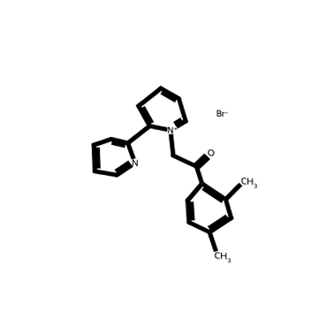 Cc1ccc(C(=O)C[n+]2ccccc2-c2ccccn2)c(C)c1.[Br-]